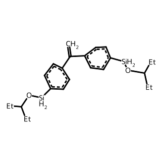 C=C(c1ccc([SiH2]OC(CC)CC)cc1)c1ccc([SiH2]OC(CC)CC)cc1